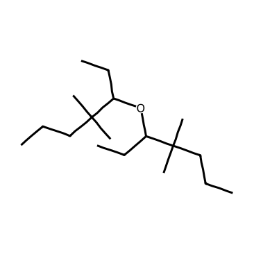 CCCC(C)(C)C(CC)OC(CC)C(C)(C)CCC